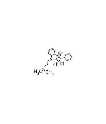 CN(C)CCCSc1ccccc1[N+]1([O-])CC(Cl)(Cl)C1c1ccccc1